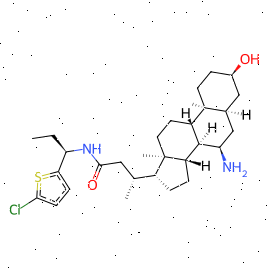 CC[C@@H](NC(=O)C[C@@H](C)[C@H]1CC[C@H]2[C@@H]3[C@H](N)C[C@@H]4C[C@H](O)CC[C@]4(C)[C@H]3CC[C@]12C)c1ccc(Cl)s1